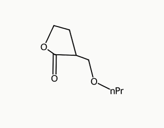 CCCOCC1CCOC1=O